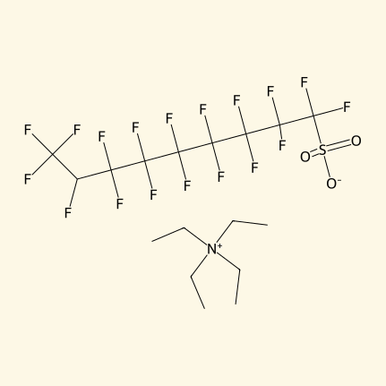 CC[N+](CC)(CC)CC.O=S(=O)([O-])C(F)(F)C(F)(F)C(F)(F)C(F)(F)C(F)(F)C(F)(F)C(F)(F)C(F)C(F)(F)F